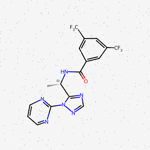 C[C@H](NC(=O)c1cc(C(F)(F)F)cc(C(F)(F)F)c1)c1ncnn1-c1ncccn1